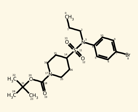 CCCN(c1ccc(Br)cc1)S(=O)(=O)C1CCN(C(=O)OC(C)(C)C)CC1